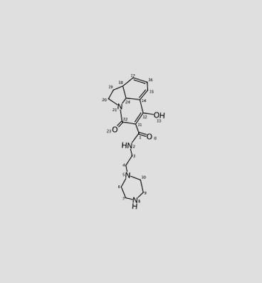 O=C(NCCN1CCNCC1)C1=C(O)C2=CC=CC3CCN(C1=O)C23